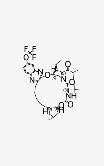 CC[C@@H]1[C@@H]2CN(C(=O)[C@H](C(C)(C)C)NC(=O)O[C@@H]3CC4CC4[C@H]3CCCCCc3nc4ccc(OC(F)(F)F)cc4nc3O2)[C@@H]1C(=O)C(C)C